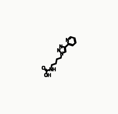 O=C(O)NCCCCn1cc(-c2ccccn2)nn1